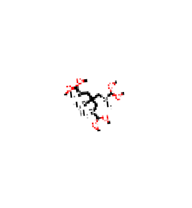 COC(OC)[SiH2]CC([SiH3])(C[SiH2]C(OC)OC)C[SiH2]C(OC)OC